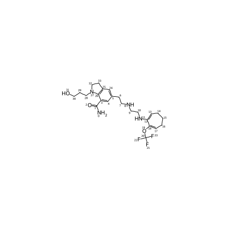 NC(=O)c1cc(CCNCCNC2=CCCCC=C2OC(F)(F)F)cc2c1N(CCCO)CC2